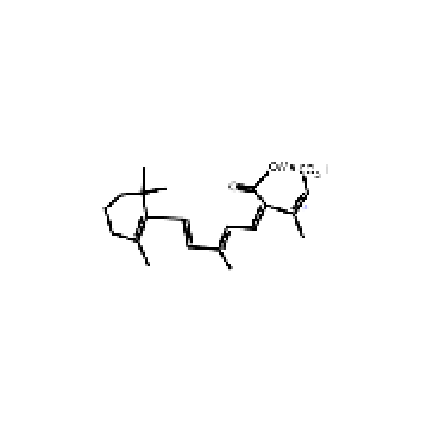 COC(=O)C(=CC=C(C)C=CC1=C(C)CCCC1(C)C)/C(C)=C\C(=O)O